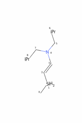 C[SiH2]C=CN(CC(C)C)CC(C)C